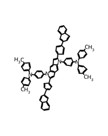 Cc1ccc(N(c2ccc(C)cc2)c2ccc(-n3c(-c4ccc(-c5ccc6ccccc6c5)cc4)cc4cc5c(cc(-c6ccc(-c7ccc8ccccc8c7)cc6)n5-c5ccc(N(c6ccc(C)cc6)c6ccc(C)cc6)cc5)cc43)cc2)cc1